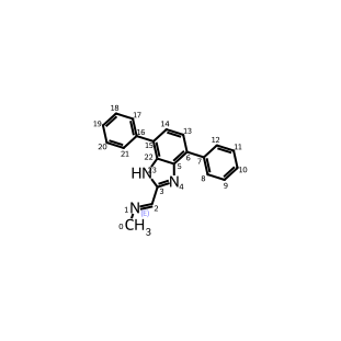 C/N=C/c1nc2c(-c3ccccc3)ccc(-c3ccccc3)c2[nH]1